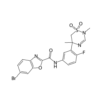 CN1C=NC(C)(c2cc(NC(=O)c3nc4ccc(Br)cc4o3)ccc2F)CS1(=O)=O